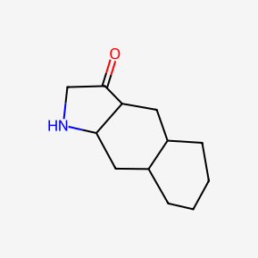 O=C1CNC2CC3CCCCC3CC12